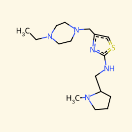 CCN1CCN(Cc2csc(NCC3CCCN3C)n2)CC1